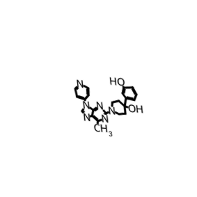 Cc1nc(N2CCC(O)(c3cccc(O)c3)CC2)nc2c1ncn2-c1ccncc1